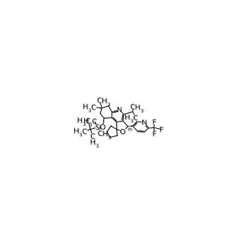 CC(C)c1nc2c(c3c1[C@@H](c1ccc(C(F)(F)F)nc1)OC31CCCC1)C(O[Si](C)(C)C(C)(C)C)CC(C)(C)C2